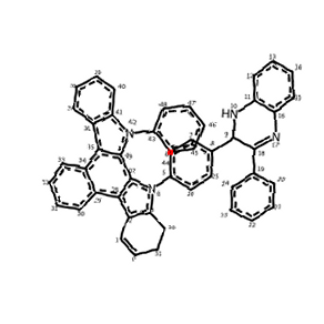 C1=Cc2c(n(-c3ccc(C4Nc5ccccc5N=C4c4ccccc4)cc3)c3c2c2ccccc2c2c4ccccc4n(-c4ccccc4)c23)CC1